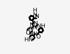 O=C(NC1CCNCC1)c1cccc(Nc2nc(-c3cccc4[nH]ncc34)nc(N3CCOCC3)n2)c1